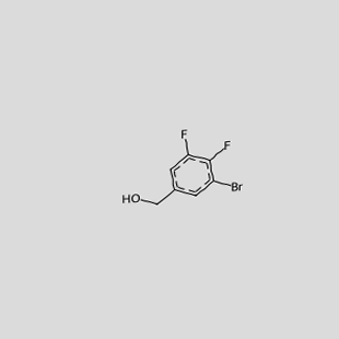 OCc1cc(F)c(F)c(Br)c1